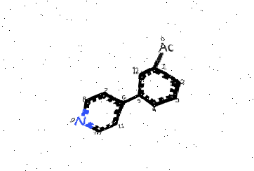 CC(=O)c1cccc(-c2ccncc2)c1